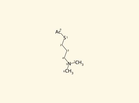 CC(=O)SCCCN(C)C